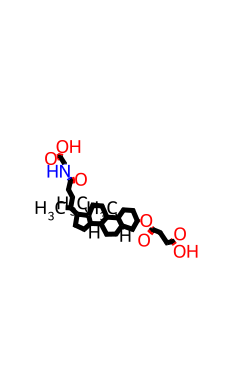 CC(CCC(=O)NCC(=O)O)C1CC[C@H]2C3CC[C@@H]4C[C@H](OC(=O)CCC(=O)O)CC[C@]4(C)C3CC[C@]12C